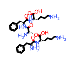 C[C@H](N)C(=O)N[C@@H](Cc1ccccc1)C(=O)N[C@@H](CCCCN)C(=O)O.NCCCC[C@H](NC(=O)[C@@H](N)Cc1ccccc1)C(=O)O